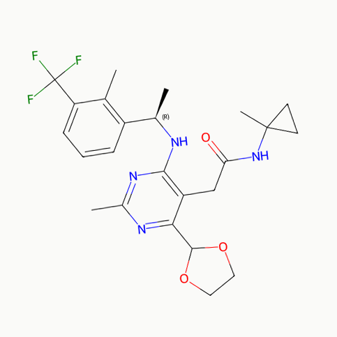 Cc1nc(N[C@H](C)c2cccc(C(F)(F)F)c2C)c(CC(=O)NC2(C)CC2)c(C2OCCO2)n1